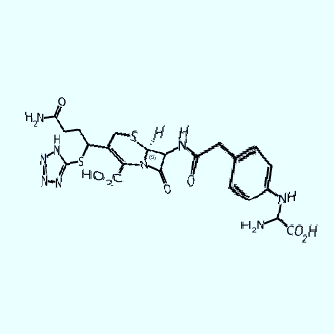 NC(=O)CCC(Sc1nnn[nH]1)C1=C(C(=O)O)N2C(=O)C(NC(=O)Cc3ccc(NC(N)C(=O)O)cc3)[C@@H]2SC1